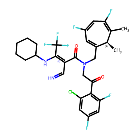 CC1=C(F)C=C(F)C=C(CN(CC(=O)c2c(F)cc(F)cc2Cl)C(=O)/C(C=N)=C(/NC2CCCCC2)C(F)(F)F)[C@@H]1C